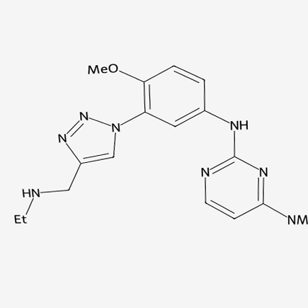 CCNCc1cn(-c2cc(Nc3nccc(NC)n3)ccc2OC)nn1